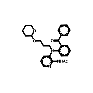 CC(=O)Nc1ncccc1N(CCCOC1CCCCO1)c1ccccc1C(=O)c1ccccc1